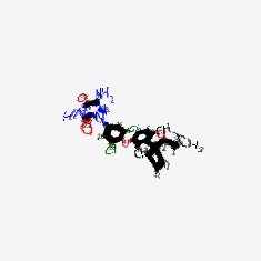 CCC(=O)C1(c2c(C)ccc(Oc3c(Cl)cc(-n4nc(N)c(=O)[nH]c4=O)cc3Cl)c2C)CCC1